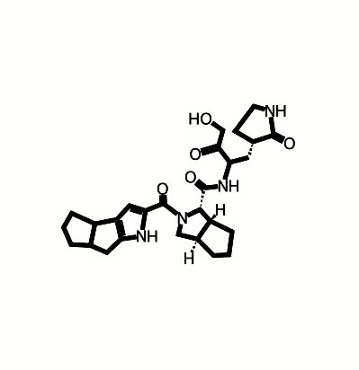 O=C(CO)C(C[C@@H]1CCNC1=O)NC(=O)[C@@H]1[C@H]2CCC[C@H]2CN1C(=O)c1cc2c([nH]1)CC1CCCC21